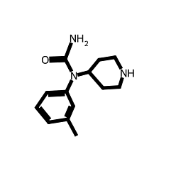 Cc1cccc(N(C(N)=O)C2CCNCC2)c1